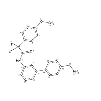 COc1ccc(C2(C(=O)Nc3cccc(-c4ccc(CN)cc4)n3)CC2)cc1